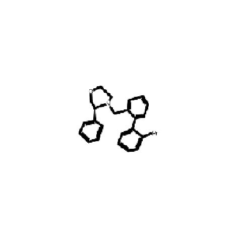 CC(C)c1ccccc1-c1ccccc1CN1CCOC[C@@H]1c1ccccc1